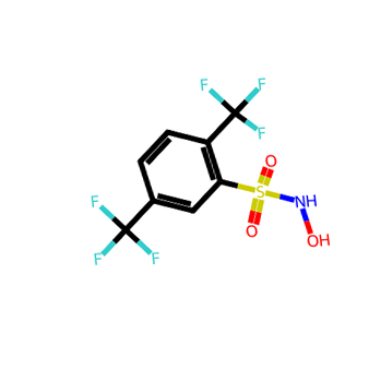 O=S(=O)(NO)c1cc(C(F)(F)F)ccc1C(F)(F)F